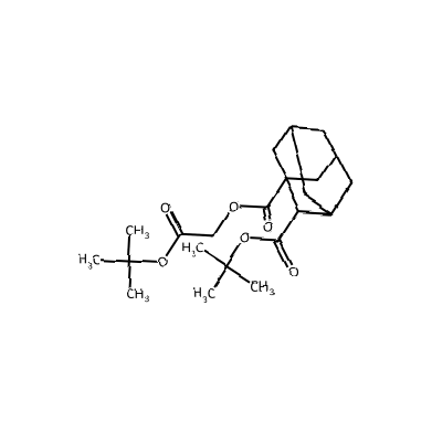 CC(C)(C)OC(=O)COC(=O)C12CC3CC(CC(C3)C1C(=O)OC(C)(C)C)C2